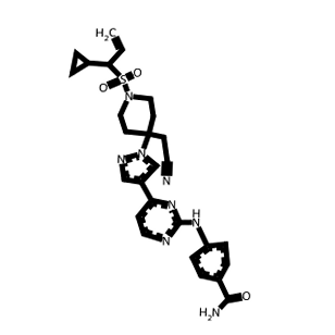 C=CC(C1CC1)S(=O)(=O)N1CCC(CC#N)(n2cc(-c3ccnc(Nc4ccc(C(N)=O)cc4)n3)cn2)CC1